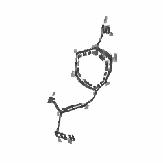 O=C(O)C(Br)=Cc1ccc([N+](=O)[O-])cc1